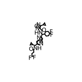 O=C(CCC(F)F)N[C@@H](c1cnn2cc([C@@H](NC(=O)c3nonc3C3CC3)C3CCC(F)(F)CC3)nc2c1)C1CC1